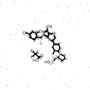 CC1CC(c2cnc3c(C#N)nn([C@H](C)c4ccc(Cl)cc4Cl)c3n2)=CCC1N1CCC[C@H]1CC(=O)O.O=C(O)C(F)(F)F